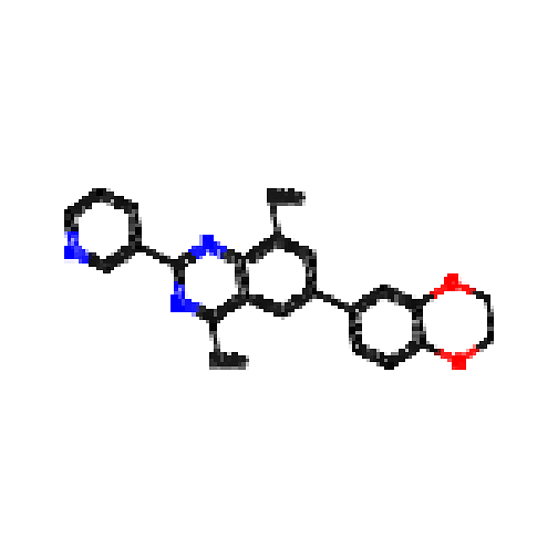 CNc1nc(-c2cccnc2)nc2c(OC)cc(-c3ccc4c(c3)OCCO4)cc12